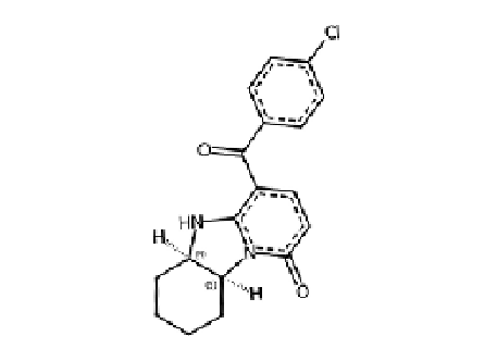 O=C(c1ccc(Cl)cc1)c1ccc(=O)n2c1N[C@@H]1CCCC[C@@H]12